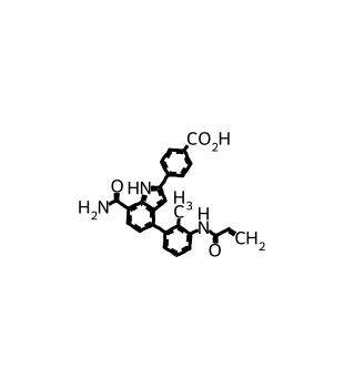 C=CC(=O)Nc1cccc(-c2ccc(C(N)=O)c3[nH]c(-c4ccc(C(=O)O)cc4)cc23)c1C